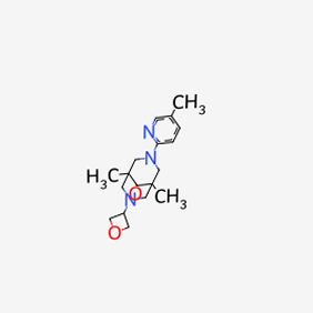 Cc1ccc(N2CC3(C)CN(C4COC4)CC(C)(C2)C3=O)nc1